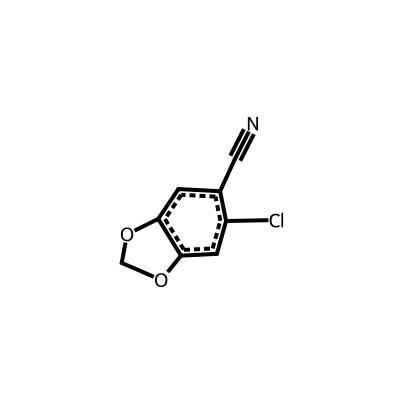 N#Cc1cc2c(cc1Cl)OCO2